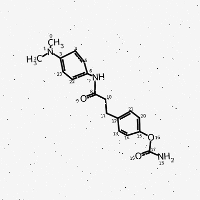 CN(C)c1ccc(NC(=O)[CH]Cc2ccc(OC(N)=O)cc2)cc1